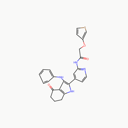 O=C(COc1ccsc1)Nc1cc(-c2[nH]c3c(c2Nc2ccccc2)C(=O)CCC3)ccn1